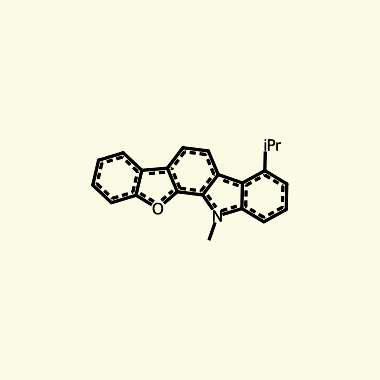 CC(C)c1cccc2c1c1ccc3c4ccccc4oc3c1n2C